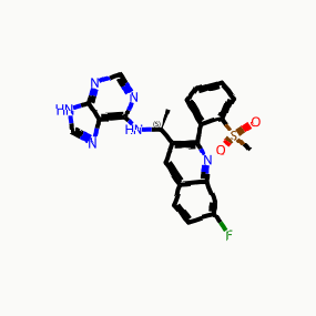 C[C@H](Nc1ncnc2[nH]cnc12)c1cc2ccc(F)cc2nc1-c1ccccc1S(C)(=O)=O